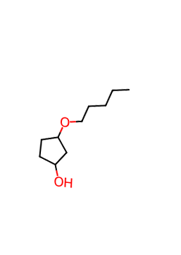 CCCCCOC1CCC(O)C1